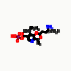 Cc1ncc(COP(=O)(O)O)c(C=O)c1OC(=O)CC[C@H](N)C(=O)O.[MgH2]